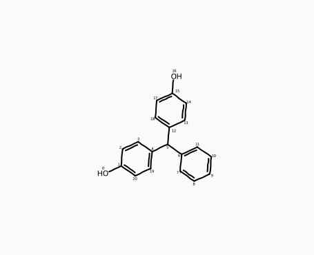 Oc1ccc(C(c2[c]cccc2)c2ccc(O)cc2)cc1